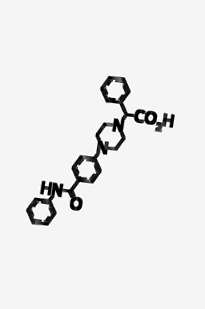 O=C(Nc1ccccc1)c1ccc(N2CCN(C(C(=O)O)c3ccccc3)CC2)cc1